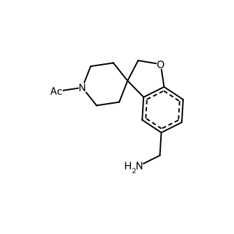 CC(=O)N1CCC2(CC1)COc1ccc(CN)cc12